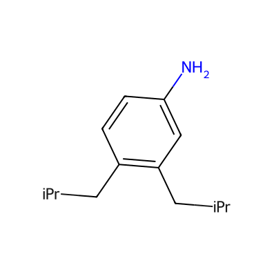 CC(C)Cc1ccc(N)cc1CC(C)C